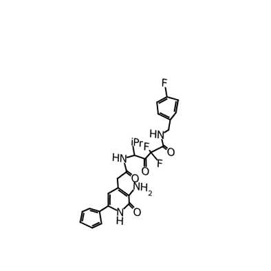 CC(C)C(NC(=O)Cc1cc(-c2ccccc2)[nH]c(=O)c1N)C(=O)C(F)(F)C(=O)NCc1ccc(F)cc1